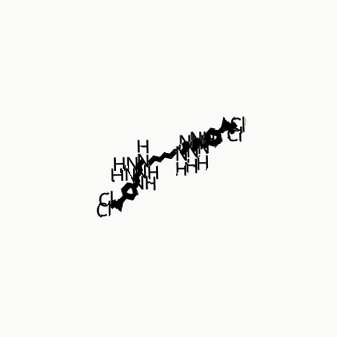 N=C(NCCCCCCNC(=N)NC(=N)Nc1ccc(C2CC2(Cl)Cl)cc1)NC(=N)Nc1ccc(C2CC2(Cl)Cl)cc1